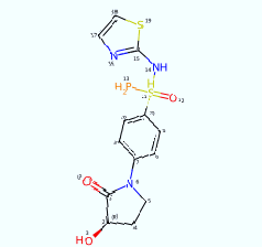 O=C1[C@H](O)CCN1c1ccc([SH](=O)(P)Nc2nccs2)cc1